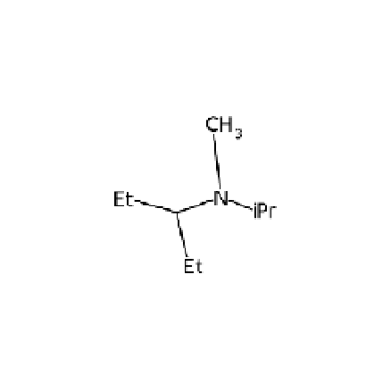 CCC(CC)N(C)C(C)C